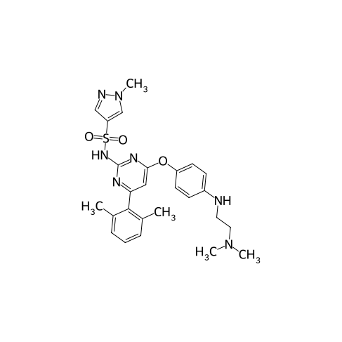 Cc1cccc(C)c1-c1cc(Oc2ccc(NCCN(C)C)cc2)nc(NS(=O)(=O)c2cnn(C)c2)n1